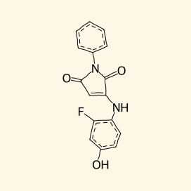 O=C1C=C(Nc2ccc(O)cc2F)C(=O)N1c1ccccc1